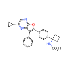 O=C(O)NC1(c2ccc(-c3oc4ncc(C5CC5)nc4c3-c3ccccc3)cc2)CCC1